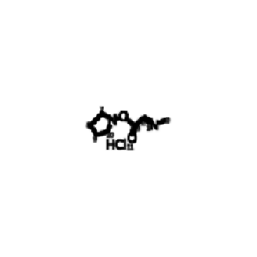 CN=CC(=O)ON1CCCC1.Cl